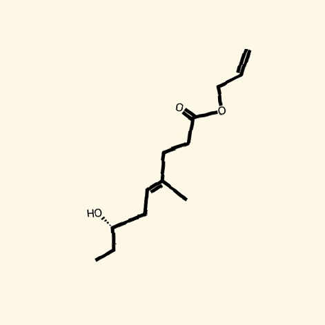 C=CCOC(=O)CC/C(C)=C/C[C@@H](O)CC